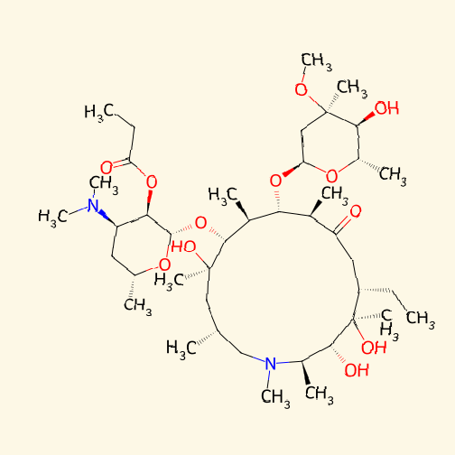 CCC(=O)O[C@H]1[C@H](O[C@@H]2[C@@H](C)[C@H](O[C@H]3C[C@@](C)(OC)[C@@H](O)[C@H](C)O3)[C@@H](C)C(=O)C[C@H](CC)[C@@](C)(O)[C@H](O)[C@@H](C)N(C)C[C@H](C)C[C@@]2(C)O)O[C@H](C)C[C@H]1N(C)C